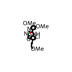 COCC#Cc1cc(Cl)c(Nc2c(C#N)cnc3cc(OC)c(OC)cc23)c2c1OCO2